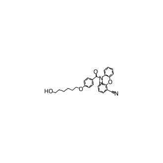 N#Cc1ccccc1Oc1ccccc1NC(=O)c1ccc(OCCCCCCO)cc1